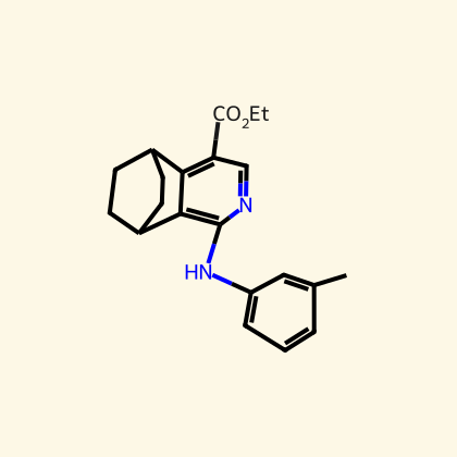 CCOC(=O)c1cnc(Nc2cccc(C)c2)c2c1C1CCC2CC1